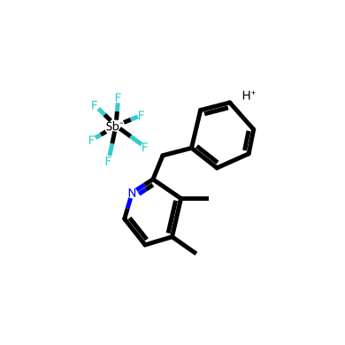 Cc1ccnc(Cc2ccccc2)c1C.[F][Sb-]([F])([F])([F])([F])[F].[H+]